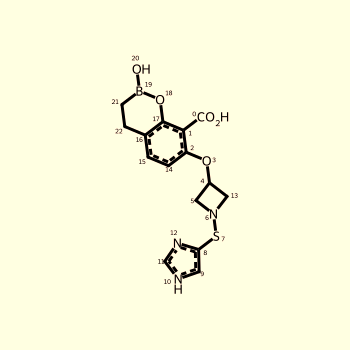 O=C(O)c1c(OC2CN(Sc3c[nH]cn3)C2)ccc2c1OB(O)CC2